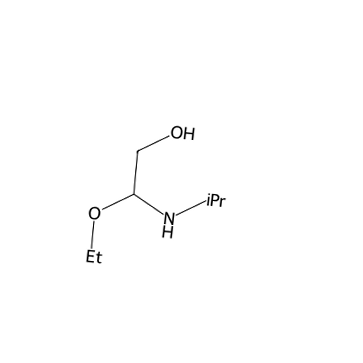 CCOC(CO)NC(C)C